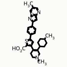 Cc1cnc2cc(-c3ccc(-c4cc(C5=C(C6CCC(C)CC6)CN(C)CC5)c(C(=O)O)s4)cc3)nn2c1